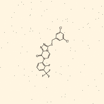 O=c1c2nnc(SCc3cc(Cl)cc(Cl)c3)n2ccn1-c1cccc(C(F)(F)F)c1F